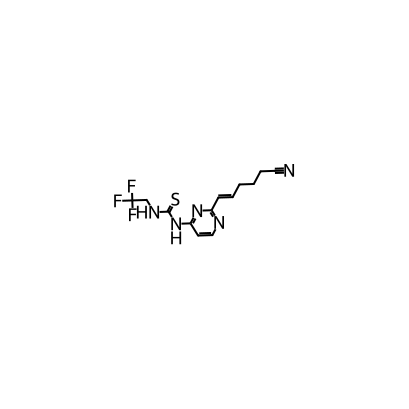 N#CCCC/C=C/c1nccc(NC(=S)NCC(F)(F)F)n1